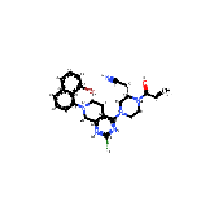 C=CC(=O)N1CCN(c2nc(Cl)nc3c2CCN(c2cccc4cccc(Br)c24)C3)C[C@@H]1CC#N